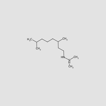 CC(C)CCCC(C)CCN[SiH](C)C